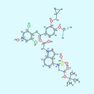 CC(C)(C)OC(=O)CN(c1cccc2c1ccn2CC(=O)OC(Cc1c(Cl)c[n+]([O-])cc1Cl)c1ccc(OC(F)F)c(OCC2CC2)c1)[SH](=O)=O